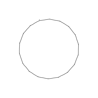 [CH]1CCCCCCCCCCCCCCCCC1